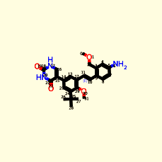 COCc1cc(N)ccc1/C=C/c1cc(-c2c[nH]c(=O)[nH]c2=O)cc(C(C)(C)C)c1OC